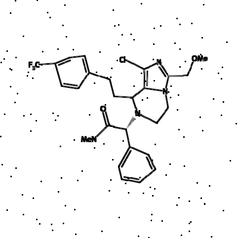 CNC(=O)[C@@H](c1ccccc1)N1CCn2c(COC)nc(Cl)c2C1CCc1ccc(C(F)(F)F)cc1